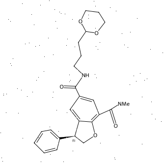 CNC(=O)c1cc(C(=O)NCCCC2OCCCO2)cc2c1OC[C@H]2c1ccccc1